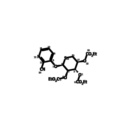 CCOC(=O)O[C@@H]1[C@@H](OC(=O)OCC)[C@@H](Oc2cccnc2C#N)SC[C@H]1OC(=O)OCC